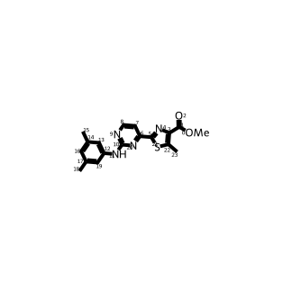 COC(=O)c1nc(-c2ccnc(Nc3cc(C)cc(C)c3)n2)sc1C